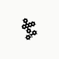 c1ccc(-c2c3ccccc3c(-c3ccc(-n4c(-c5ccccc5)nc5ccccc54)cc3)c3cc4ccccc4cc23)cc1